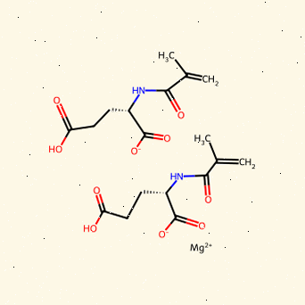 C=C(C)C(=O)N[C@@H](CCC(=O)O)C(=O)[O-].C=C(C)C(=O)N[C@@H](CCC(=O)O)C(=O)[O-].[Mg+2]